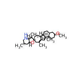 CO[C@@H]1CC[C@@]2(C)C(CC[C@H]3[C@@H]4CC[C@@]5(CC(C)=C4C[C@@H]32)O[C@@H]2C[C@H](C)CN[C@H]2[C@H]5C)C1